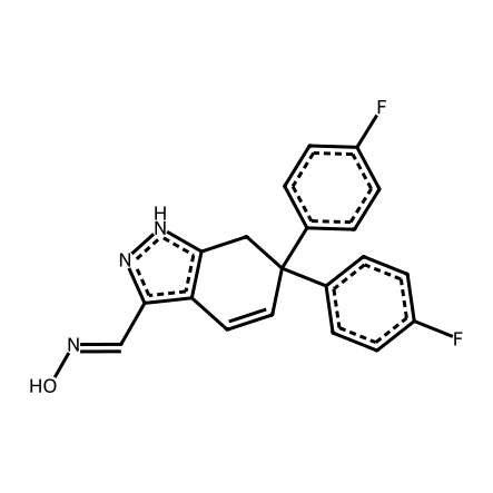 ON=Cc1n[nH]c2c1C=CC(c1ccc(F)cc1)(c1ccc(F)cc1)C2